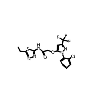 CCc1nnc(NC(=O)COc2cc(C(F)(F)F)nn2-c2ccccc2Cl)s1